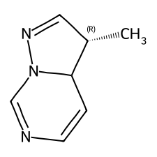 C[C@H]1C=NN2C=NC=CC12